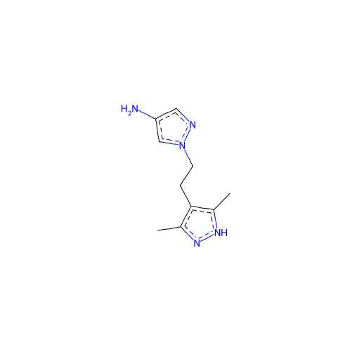 Cc1n[nH]c(C)c1CCn1cc(N)cn1